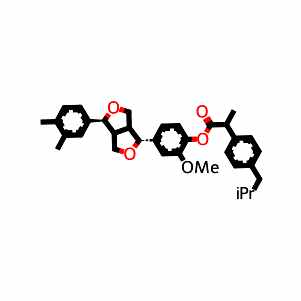 COc1cc([C@@H]2OCC3C2CO[C@@H]3c2ccc(C)c(C)c2)ccc1OC(=O)C(C)c1ccc(CC(C)C)cc1